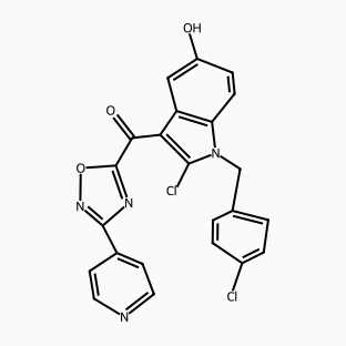 O=C(c1nc(-c2ccncc2)no1)c1c(Cl)n(Cc2ccc(Cl)cc2)c2ccc(O)cc12